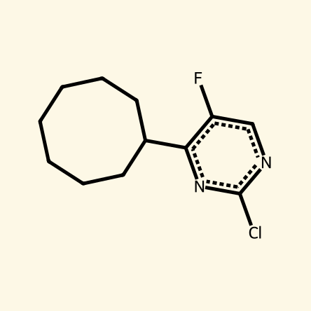 Fc1cnc(Cl)nc1C1CCCCCCC1